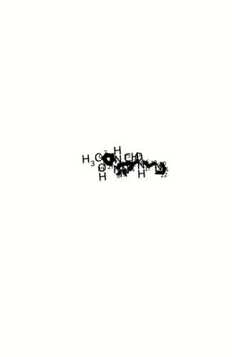 Cc1ccc(Nc2ncnn3cc(C(=O)NCCCN4CCCC4)c(C)c23)cc1O